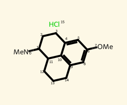 CNC1CCc2cc(OC)cc3c2C1CCC3.Cl